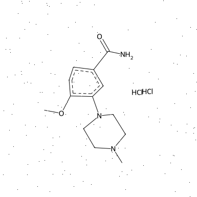 COc1ccc(C(N)=O)cc1N1CCN(C)CC1.Cl.Cl